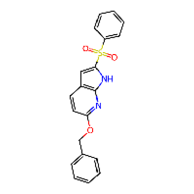 O=S(=O)(c1ccccc1)c1cc2ccc(OCc3ccccc3)nc2[nH]1